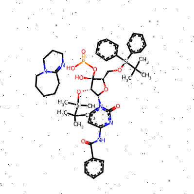 C1CCC2=NCCCN2CC1.CC(C)(C)[Si](C)(C)O[C@H]1[C@H](n2ccc(NC(=O)c3ccccc3)nc2=O)O[C@H](CO[Si](c2ccccc2)(c2ccccc2)C(C)(C)C)[C@@]1(O)O[PH](=O)O